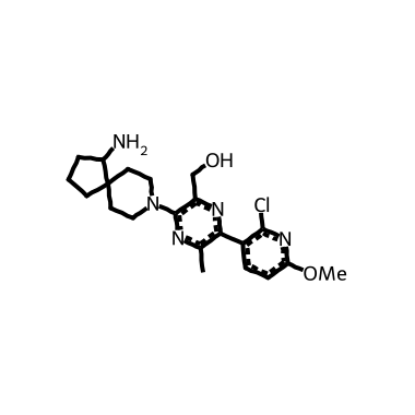 COc1ccc(-c2nc(CO)c(N3CCC4(CCCC4N)CC3)nc2C)c(Cl)n1